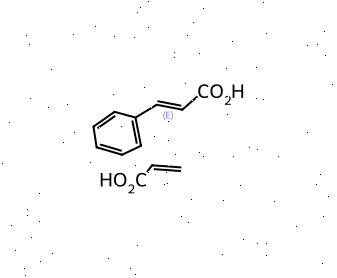 C=CC(=O)O.O=C(O)/C=C/c1ccccc1